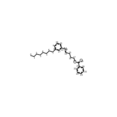 CCCCCCCCc1cccc(N=CCCCOC(=O)c2ccccc2)c1